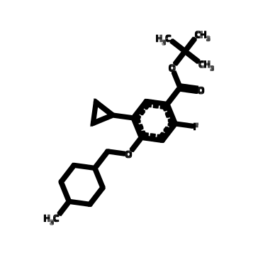 CC1CCC(COc2cc(F)c(C(=O)OC(C)(C)C)cc2C2CC2)CC1